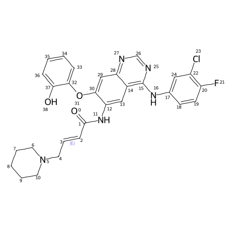 O=C(/C=C/CN1CCCCC1)Nc1cc2c(Nc3ccc(F)c(Cl)c3)ncnc2cc1Oc1ccccc1O